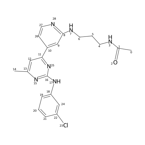 CC(=O)NCCCNc1cc(-c2cc(C)nc(Nc3cccc(Cl)c3)n2)ccn1